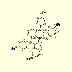 CC(C)c1ccc(N2c3cccc4c3B(c3sc5ccc(C(C)C)cc5c32)c2sc3ccc(C(C)C)cc3c2N4c2ccc(C(C)C)cc2)cc1